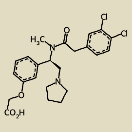 CN(C(=O)Cc1ccc(Cl)c(Cl)c1)[C@@H](CN1CCCC1)c1cccc(OCC(=O)O)c1